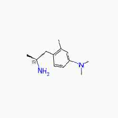 Cc1cc(N(C)C)ccc1C[C@H](C)N